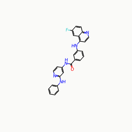 O=C(Nc1ccnc(Nc2ccccc2)c1)c1cccc(Nc2ccnc3ccc(F)cc23)c1